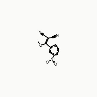 COC(=C(C#N)C#N)c1cccc([N+](=O)[O-])c1